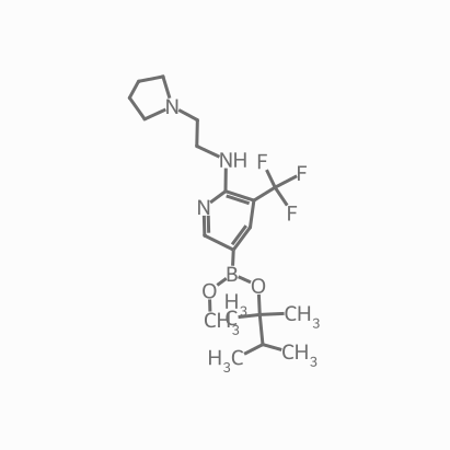 COB(OC(C)(C)C(C)C)c1cnc(NCCN2CCCC2)c(C(F)(F)F)c1